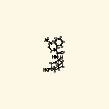 CC(=O)N1CCN(C(=O)N[C@H]2C3CC4CC2C[C@](O)(C4)C3)c2ccccc21